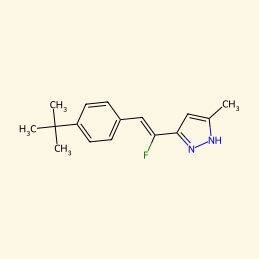 Cc1cc(C(F)=Cc2ccc(C(C)(C)C)cc2)n[nH]1